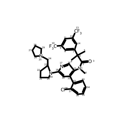 CN(C(=O)C(C)(C)c1cc(C(F)(F)F)cc(C(F)(F)F)c1)c1cnc(N2CCCC2CN2CCCC2)cc1-c1ccccc1Cl